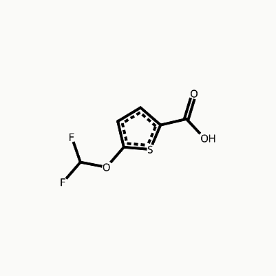 O=C(O)c1ccc(OC(F)F)s1